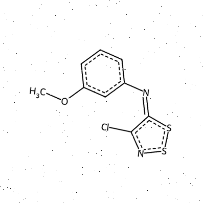 COc1cccc(/N=c2/ssnc2Cl)c1